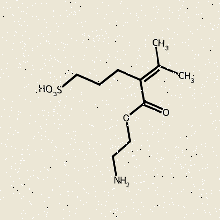 CC(C)=C(CCCS(=O)(=O)O)C(=O)OCCN